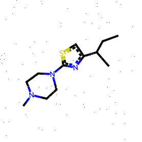 CCC(C)c1csc(N2CCN(C)CC2)n1